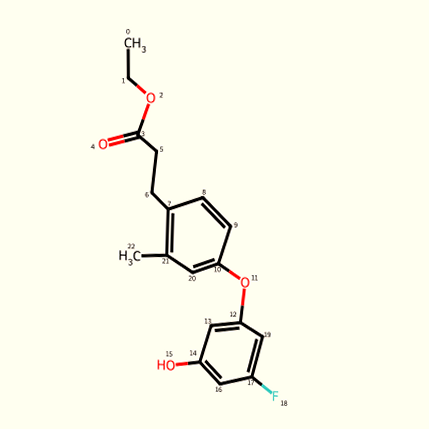 CCOC(=O)CCc1ccc(Oc2cc(O)cc(F)c2)cc1C